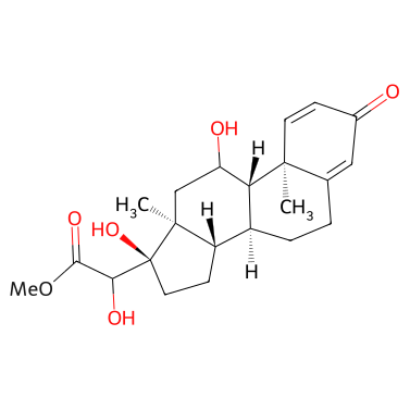 COC(=O)C(O)[C@@]1(O)CC[C@H]2[C@@H]3CCC4=CC(=O)C=C[C@]4(C)[C@H]3C(O)C[C@@]21C